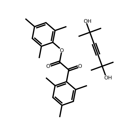 CC(C)(O)C#CC(C)(C)O.Cc1cc(C)c(OC(=O)C(=O)c2c(C)cc(C)cc2C)c(C)c1